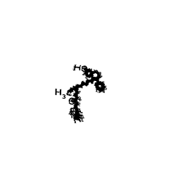 CCN(CCCCCCC1=C(c2ccccc2)CCCc2cc(O)ccc21)CCC[S+]([O-])CCCC(F)(F)C(F)(F)F